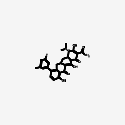 Cc1cc(F)cc(-c2ccc(O)c3c2CC2CC4C(C(=O)C(C(N)=O)=C(O)[C@H]4N(C)C)C(O)=C2C3=O)c1